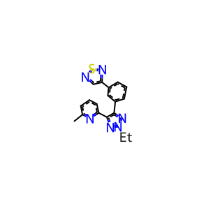 CCn1nc(-c2cccc(-c3cnsn3)c2)c(-c2cccc(C)n2)n1